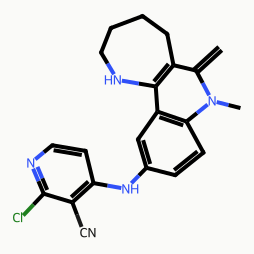 C=C1C2=C(NCCCC2)c2cc(Nc3ccnc(Cl)c3C#N)ccc2N1C